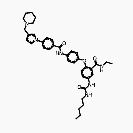 CCCCCNC(=O)Nc1ccc(Oc2ccc(NC(=O)c3ccc(-n4ccc(CN5CCCCC5)c4)cc3)cc2)c(C(=O)NCC)c1